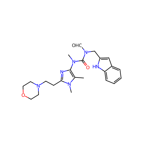 Cc1c(N(C)C(=O)N(C=O)Cc2cc3ccccc3[nH]2)nc(CCN2CCOCC2)n1C